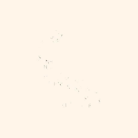 O=C(/N=C1\SCC(=O)N1c1cc(Cl)ccc1OC(F)C(F)F)Nc1ccc(NNC(=O)c2ccc(OC(F)(F)F)cc2)cc1